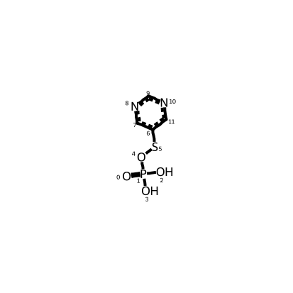 O=P(O)(O)OSc1cncnc1